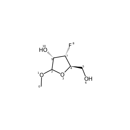 COC1O[C@H](CO)[C@@H](F)[C@H]1O